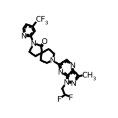 Cc1nn(CC(F)F)c2nc(N3CCC4(CC3)CCN(c3cc(C(F)(F)F)ccn3)C4=O)cnc12